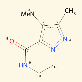 CNc1c(C)nn2c1C(=O)NCC2